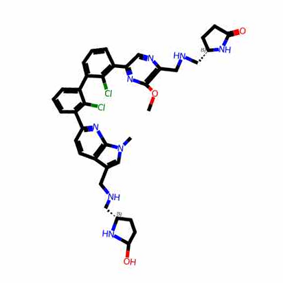 COc1nc(-c2cccc(-c3cccc(-c4ccc5c(CNC[C@@H]6CCC(O)N6)cn(C)c5n4)c3Cl)c2Cl)cnc1CNC[C@@H]1CCC(=O)N1